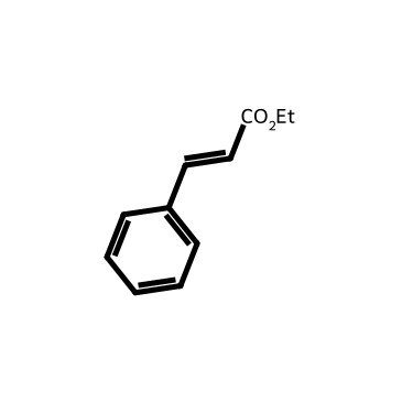 [CH2]COC(=O)C=Cc1ccccc1